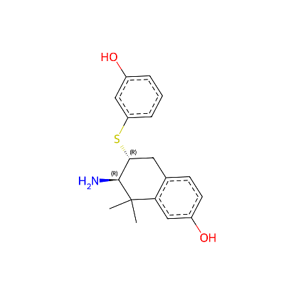 CC1(C)c2cc(O)ccc2C[C@@H](Sc2cccc(O)c2)[C@@H]1N